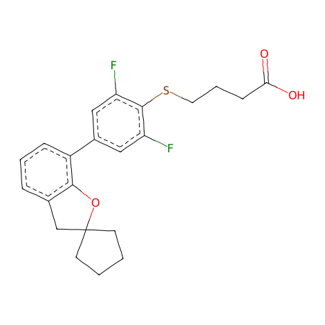 O=C(O)CCCSc1c(F)cc(-c2cccc3c2OC2(CCCC2)C3)cc1F